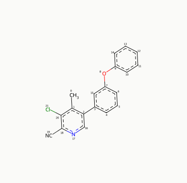 Cc1c(-c2cccc(Oc3ccccc3)c2)cnc(C#N)c1Cl